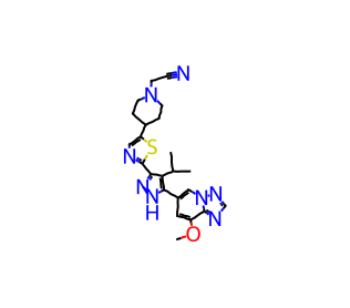 COc1cc(-c2[nH]nc(-c3ncc(C4CCN(CC#N)CC4)s3)c2C(C)C)cn2ncnc12